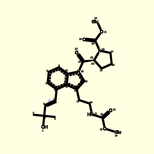 CC(C)(O)/C=C/c1cccc2c1c(CCNC(=O)OC(C)(C)C)cn2C(=O)[C@@H]1CCCN1C(=O)OC(C)(C)C